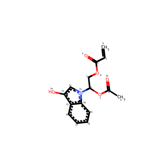 C=CC(=O)OCC(OC(C)=O)n1cc(O)c2ccccc21